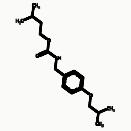 CC(C)CCOC(=O)NCc1ccc(OCC(C)C)cc1